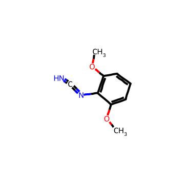 COc1cccc(OC)c1N=C=N